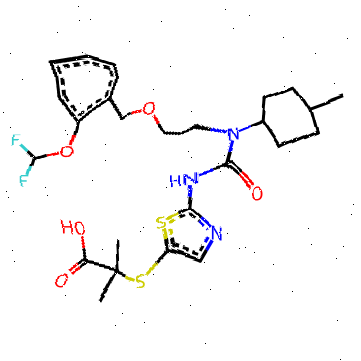 CC1CCC(N(CCOCc2ccccc2OC(F)F)C(=O)Nc2ncc(SC(C)(C)C(=O)O)s2)CC1